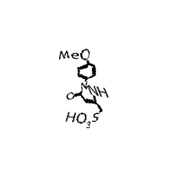 COc1ccc(-n2[nH]c(CS(=O)(=O)O)cc2=O)cc1